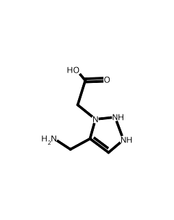 NCC1=CNNN1CC(=O)O